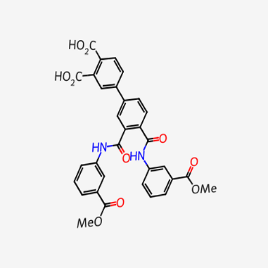 COC(=O)c1cccc(NC(=O)c2ccc(-c3ccc(C(=O)O)c(C(=O)O)c3)cc2C(=O)Nc2cccc(C(=O)OC)c2)c1